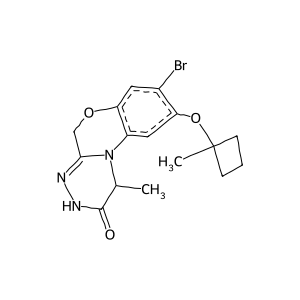 CC1C(=O)NN=C2COc3cc(Br)c(OC4(C)CCC4)cc3N21